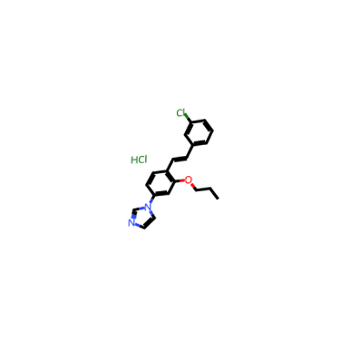 CCCOc1cc(-n2ccnc2)ccc1C=Cc1cccc(Cl)c1.Cl